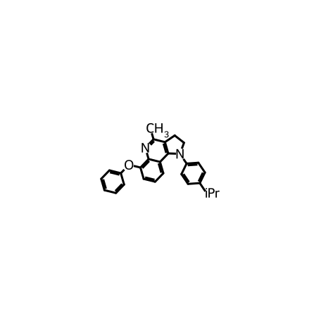 Cc1nc2c(Oc3ccccc3)cccc2c2c1CCN2c1ccc(C(C)C)cc1